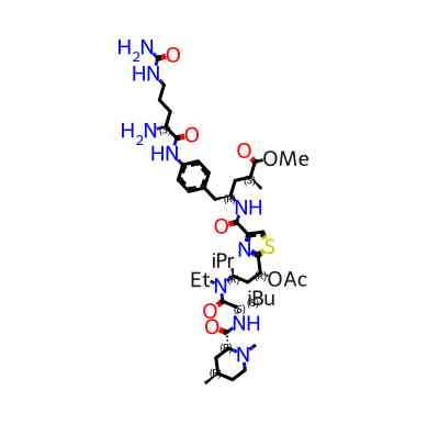 CC[C@H](C)[C@H](NC(=O)[C@H]1C[C@H](C)CCN1C)C(=O)N(CC)[C@H](C[C@@H](OC(C)=O)c1nc(C(=O)N[C@@H](Cc2ccc(NC(=O)[C@@H](N)CCCNC(N)=O)cc2)C[C@H](C)C(=O)OC)cs1)C(C)C